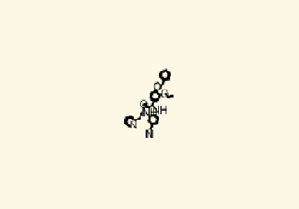 CCOc1cc(C(Nc2ccc(C#N)cc2)C(=O)NCCc2ccccn2)ccc1OCc1ccccc1